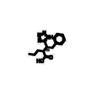 CCCC(C(=O)O)[C@H](Cc1ccccc1)c1nnn[nH]1